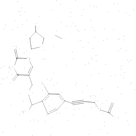 CC(OCc1cn([C@@H]2CC(O)[C@H](CO)O2)c(=O)[nH]c1=O)c1ccc(C#CCNC(=O)C(F)(F)F)cc1[N+](=O)[O-]